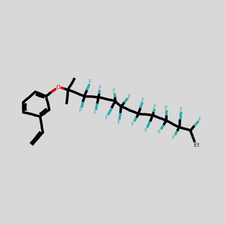 C=Cc1cccc(OC(C)(C)C(F)(F)C(F)(F)C(F)(F)C(F)(F)C(F)(F)C(F)(F)C(F)(F)C(F)(F)C(F)CC)c1